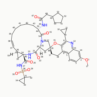 COc1ccc2c3c(c(C4CC4)nc2c1)O[C@]1(CC3)C[C@H]2C(=O)N[C@]3(C(=O)NS(=O)(=O)C4(C)CC4)C[C@H]3C=CCCCCC[C@H](NC(=O)CC3CCCC3)C(=O)N2C1